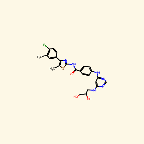 Cc1sc(NC(=O)c2ccc(Nc3cc(NCC(O)CO)ncn3)cc2)nc1-c1ccc(F)c(C(F)(F)F)c1